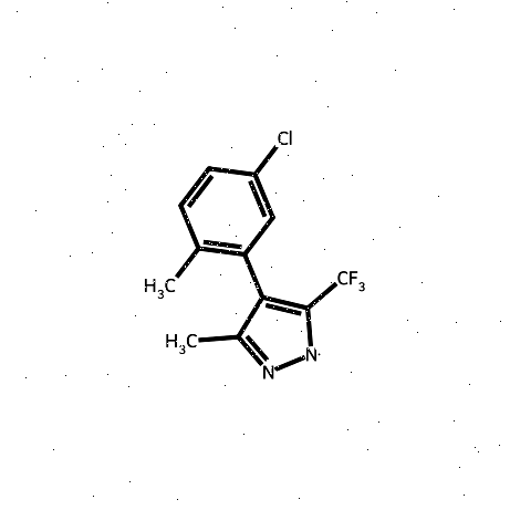 CC1=N[N]C(C(F)(F)F)=C1c1cc(Cl)ccc1C